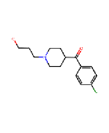 [O]CCCN1CCC(C(=O)c2ccc(F)cc2)CC1